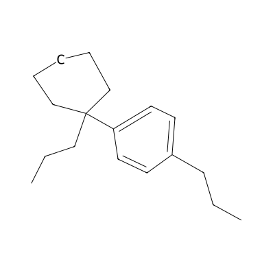 CCCc1ccc(C2(CCC)CCCCC2)cc1